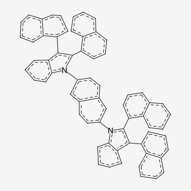 c1ccc2c(-c3c(-c4cccc5ccccc45)n(-c4ccc5cc(-n6c(-c7cccc8ccccc78)c(-c7cccc8ccccc78)c7ccccc76)ccc5c4)c4ccccc34)cccc2c1